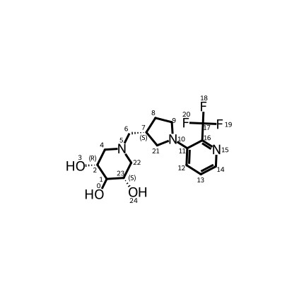 OC1[C@H](O)CN(C[C@@H]2CCN(c3cccnc3C(F)(F)F)C2)C[C@@H]1O